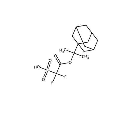 CC(C)(OC(=O)C(F)(F)S(=O)(=O)O)C12CC3CC(CC(C3)C1)C2